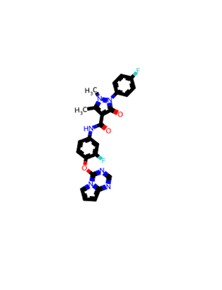 Cc1c(C(=O)Nc2ccc(Oc3ncnc4cccn34)c(F)c2)c(=O)n(-c2ccc(F)cc2)n1C